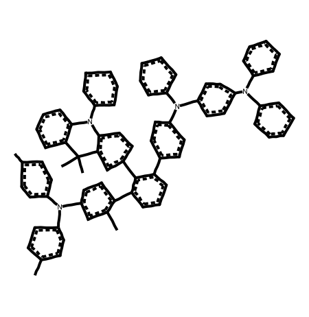 Cc1ccc(N(c2ccc(C)cc2)c2ccc(-c3cccc(-c4ccc(N(c5ccccc5)c5ccc(N(c6ccccc6)c6ccccc6)cc5)cc4)c3-c3ccc4c(c3)C(C)(C)c3ccccc3N4c3ccccc3)c(C)c2)cc1